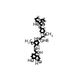 COc1cc(NC(=O)CCN(C)C2CCC(OC(=O)C(O)(c3cccs3)c3cccs3)CC2)ccc1CNC[C@@H](O)c1ccc(O)c2[nH]c(=O)ccc12.F